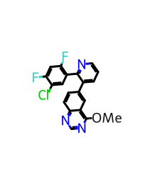 COc1ncnc2ccc(-c3cccnc3-c3cc(Cl)c(F)cc3F)cc12